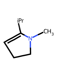 CC(C)C1=CCCN1C